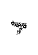 CC(C)(C)OC(=O)N1CCC(n2c(-c3ccccc3O)nc3cnc4c(ccn4S(=O)(=O)c4ccccc4)c32)C1